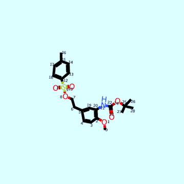 COc1ccc(CCOS(=O)(=O)c2ccc(C)cc2)cc1NC(=O)OC(C)(C)C